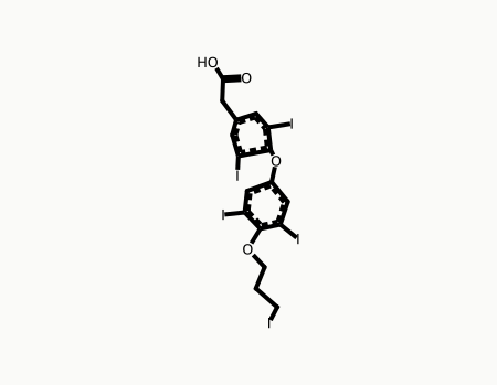 O=C(O)Cc1cc(I)c(Oc2cc(I)c(OCCCI)c(I)c2)c(I)c1